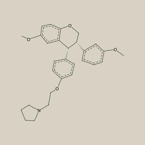 COc1cccc([C@H]2COc3ccc(OC)cc3[C@H]2c2ccc(OCCN3CCCC3)cc2)c1